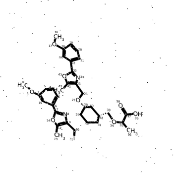 COc1cccc(-c2nc(CI)c(C)o2)c1.COc1cccc(-c2nc(CO[C@H]3CCC[C@@H](COC(C)C(=O)O)C3)c(C)o2)c1